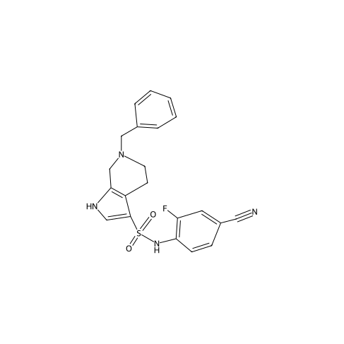 N#Cc1ccc(NS(=O)(=O)c2c[nH]c3c2CCN(Cc2ccccc2)C3)c(F)c1